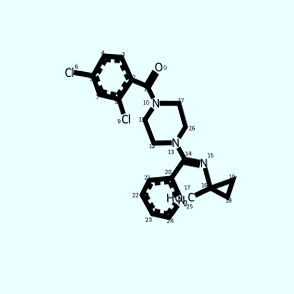 O=C(c1ccc(Cl)cc1Cl)N1CCN(C(=NC2(C(=O)O)CC2)c2ccccn2)CC1